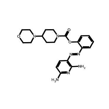 Nc1ccc(/N=N/c2ccccc2OC(=O)N2CCC(N3CCOCC3)CC2)c(N)n1